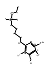 CCO[Si](C)(C)CCCCCc1cc(F)c(F)c(F)c1F